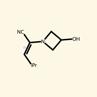 CC(C)/C=C(/C#N)N1CC(O)C1